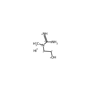 CN(CCO)C(=N)N.I